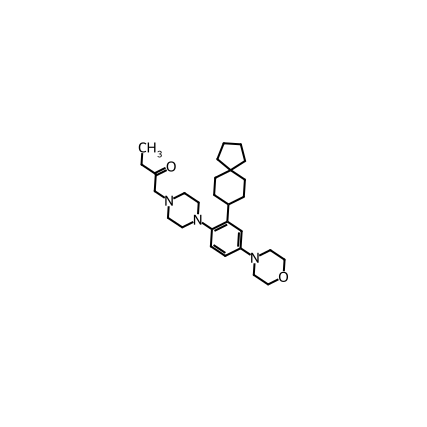 CCC(=O)CN1CCN(c2ccc(N3CCOCC3)cc2C2CCC3(CCCC3)CC2)CC1